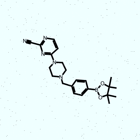 CC1(C)OB(c2ccc(CN3CCN(c4ccnc(C#N)n4)CC3)cc2)OC1(C)C